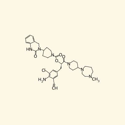 C#Cc1cc(C[C@@H](OC(=O)N2CCC(N3Cc4ccccc4NC3=O)CC2)C(=O)N2CCC(N3CCCN(C)CC3)CC2)cc(Cl)c1N